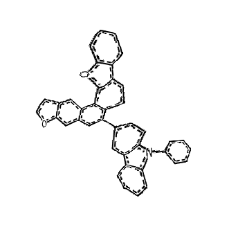 c1ccc(-n2c3ccccc3c3cc(-c4cc5cc6occc6cc5c5c4ccc4c6ccccc6oc45)ccc32)cc1